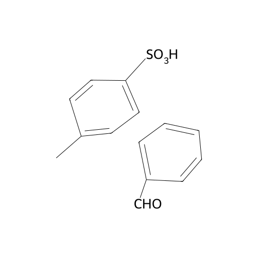 Cc1ccc(S(=O)(=O)O)cc1.O=Cc1ccccc1